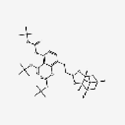 CC(C)(C)OC(=O)Oc1ccc(CCB2O[C@@H]3C[C@@H]4C[C@@H](C4(C)C)[C@]3(C)O2)c(OC(=O)OC(C)(C)C)c1C(=O)OC(C)(C)C